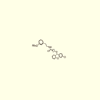 COc1cccc(CCNC(=O)N2CC(OC(c3ccc(Cl)cc3)c3ccccc3Cl)C2)c1